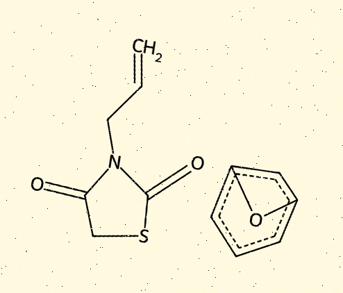 C=CCN1C(=O)CSC1=O.c1cc2cc(c1)O2